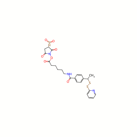 CC(SSc1ccccn1)c1ccc(C(=O)NCCCCCC(=O)ON2C(=O)CC([SH](=O)=O)C2=O)cc1